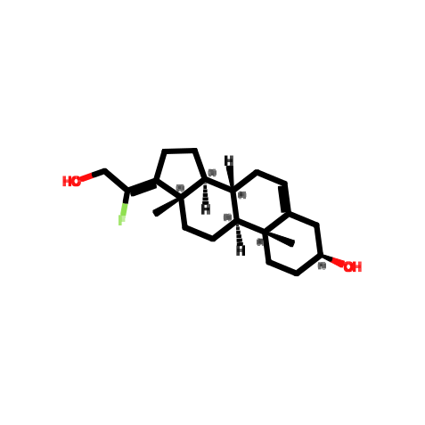 C[C@]12CC[C@H](O)CC1=CC[C@@H]1[C@@H]2CC[C@]2(C)C(=C(F)CO)CC[C@@H]12